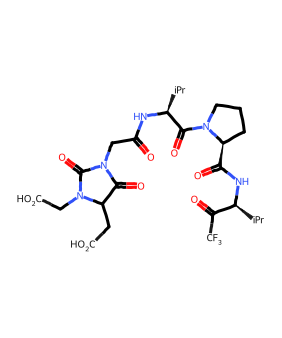 CC(C)[C@H](NC(=O)CN1C(=O)C(CC(=O)O)N(CC(=O)O)C1=O)C(=O)N1CCC[C@H]1C(=O)N[C@H](C(=O)C(F)(F)F)C(C)C